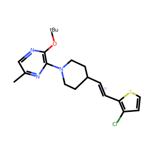 Cc1cnc(OC(C)(C)C)c(N2CCC(/C=C/c3sccc3Cl)CC2)n1